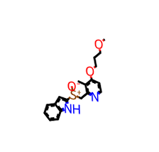 COCCCOc1ccnc(C[S+]([O-])c2cc3ccccc3[nH]2)c1C